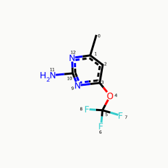 Cc1cc(OC(F)(F)F)nc(N)n1